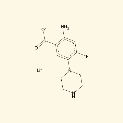 Nc1cc(F)c(N2CCNCC2)cc1C(=O)[O-].[Li+]